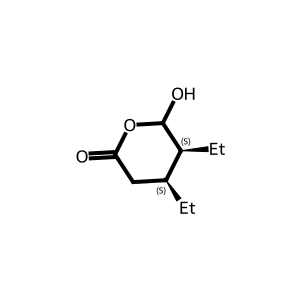 CC[C@H]1CC(=O)OC(O)[C@H]1CC